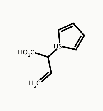 C=CC(C(=O)O)[SH]1C=CC=C1